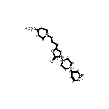 O=C(O)C1CCN(CCCC2CN(N3CCN(c4ccnnc4)CC3)C(=O)O2)CC1